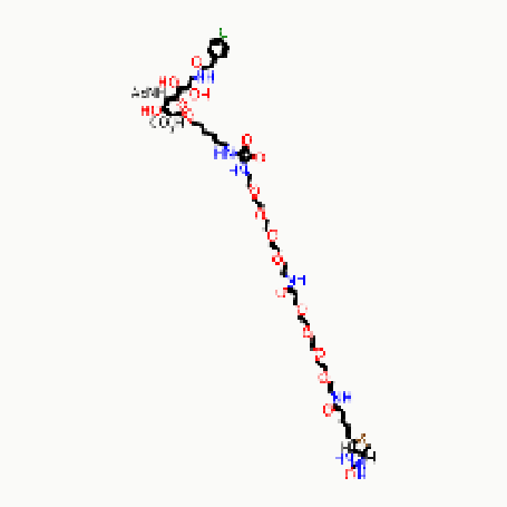 CC(=O)N[C@H]1[C@H]([C@H](O)[C@H](O)CNC(=O)Cc2ccc(Cl)cc2)O[C@@](OCCCCCCNc2c(NCCOCCOCCOCCOCCNC(=O)CCOCCOCCOCCOCCNC(=O)CCCC[C@H]3SC[C@H]4NC(=O)N[C@H]43)c(=O)c2=O)(C(=O)O)C[C@@H]1O